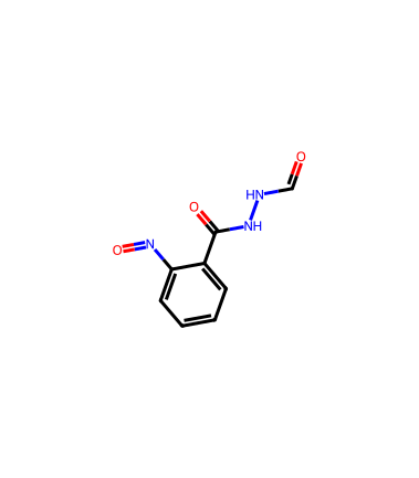 O=CNNC(=O)c1ccccc1N=O